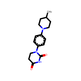 CC(=O)OC1CCN(c2ccc(N3CCC(=O)NC3=O)cc2)CC1